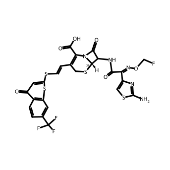 Nc1nc(C(=NOCF)C(=O)NC2C(=O)N3C(C(=O)O)=C(C=CSc4cc(=O)c5ccc(C(F)(F)F)cc5s4)CS[C@@H]23)cs1